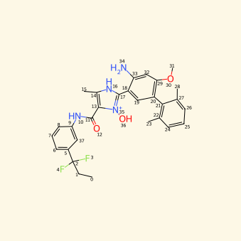 CCC(F)(F)c1cccc(NC(=O)c2c(C)[nH]c(-c3cc(-c4c(C)cccc4C)c(OC)cc3N)[n+]2O)c1